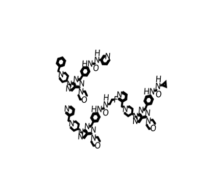 O=C(NCCF)Nc1ccc(-c2nc(N3CCOCC3)c3cnn(C4CCN(Cc5cccnc5)CC4)c3n2)cc1.O=C(Nc1ccc(-c2nc(N3CCOCC3)c3cnn(C4CCN(Cc5ccccc5)CC4)c3n2)cc1)Nc1cccnc1.O=C(Nc1ccc(-c2nc(N3CCOCC3)c3cnn(C4CCN(Cc5cccnc5)CC4)c3n2)cc1)NC1CC1